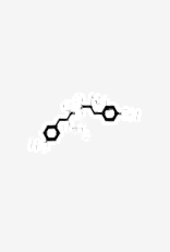 NC(Cc1ccc(O)cc1)C(=O)OC(=O)C(N)Cc1ccc(O)cc1